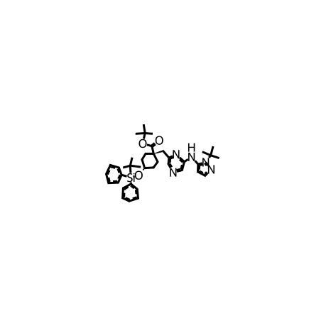 CC(C)(C)OC(=O)[C@]1(Cc2cncc(Nc3ccnn3C(C)(C)C)n2)CC[C@H](O[Si](c2ccccc2)(c2ccccc2)C(C)(C)C)CC1